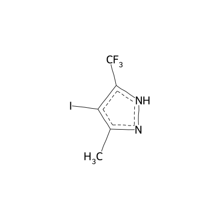 Cc1n[nH]c(C(F)(F)F)c1I